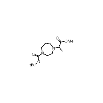 COC(=O)C(C)N1CCCN(C(=O)OC(C)(C)C)CC1